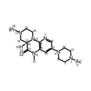 CC(=O)N1CCN(c2cnc3c(c2)N(C)C(=O)[C@@H]2CN(C(C)C)CCN32)CC1